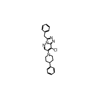 Clc1c(N2CCC(c3ccccc3)CC2)cnn2c(Cc3ccccc3)nnc12